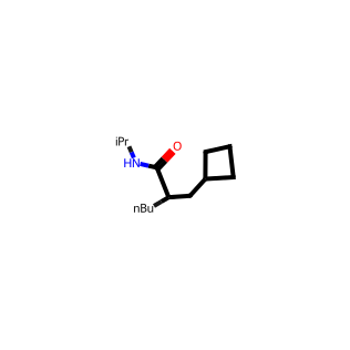 CCCCC(CC1CCC1)C(=O)NC(C)C